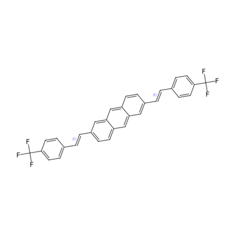 FC(F)(F)c1ccc(/C=C/c2ccc3cc4cc(/C=C/c5ccc(C(F)(F)F)cc5)ccc4cc3c2)cc1